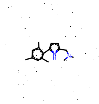 Cc1cc(C)c(-c2ccc(CN(C)C)[nH]2)c(C)c1